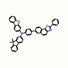 CC1(C)c2ccccc2-c2ccc(N(c3ccc(-c4ccc5c(ccc6nc(-c7ccccc7)oc65)c4)cc3)c3ccc4c(c3)oc3ccccc34)cc21